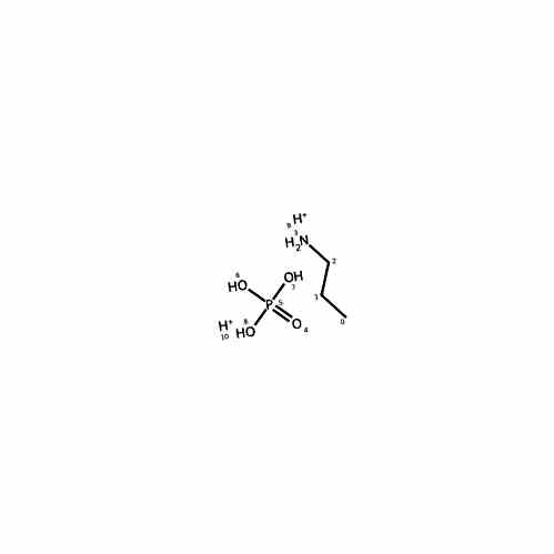 CCCN.O=P(O)(O)O.[H+].[H+]